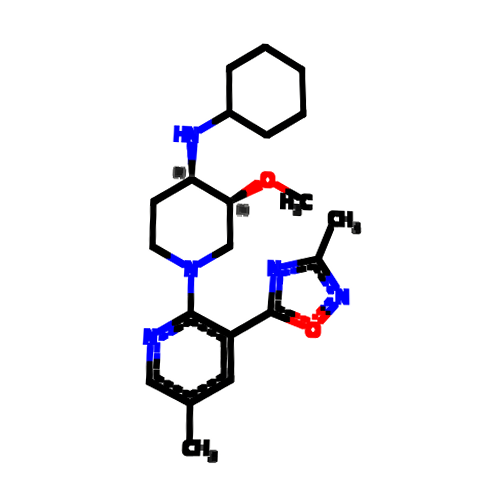 CO[C@H]1CN(c2ncc(C)cc2-c2nc(C)no2)CC[C@H]1NC1CCCCC1